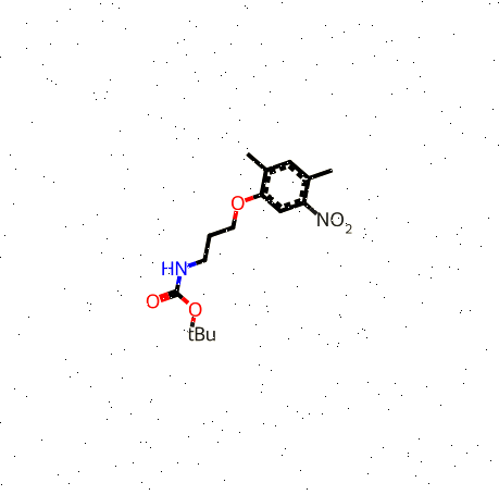 Cc1cc(C)c([N+](=O)[O-])cc1OCCCNC(=O)OC(C)(C)C